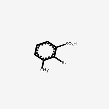 [CH2]c1cccc(S(=O)(=O)O)c1CC